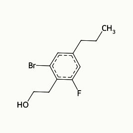 CCCc1cc(F)c(CCO)c(Br)c1